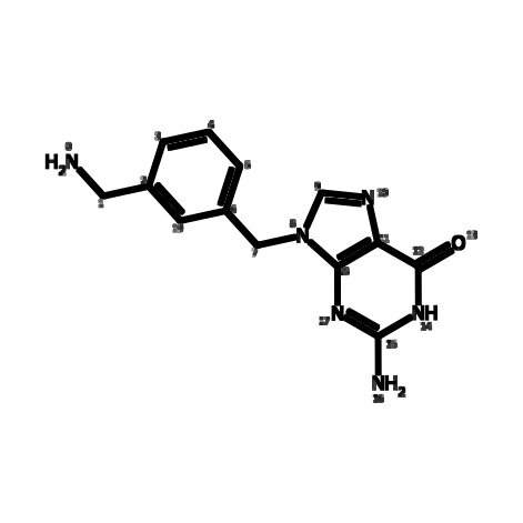 NCc1cccc(Cn2cnc3c(=O)[nH]c(N)nc32)c1